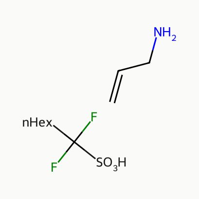 C=CCN.CCCCCCC(F)(F)S(=O)(=O)O